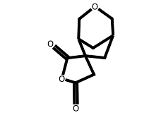 O=C1CC2(CC3COCC2C3)C(=O)O1